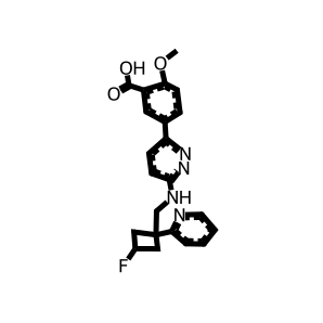 COc1ccc(-c2ccc(NCC3(c4ccccn4)CC(F)C3)nn2)cc1C(=O)O